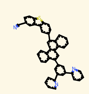 N#Cc1ccc2sc3ccc(-c4cc5c6ccccc6c(-c6cc(-c7ccccn7)cc(-c7ccccn7)c6)cc5c5ccccc45)cc3c2c1